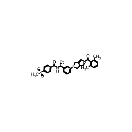 CC[C@H](NC(=O)c1ccc(S(C)(=O)=O)cc1)c1cccc(N2CC3=CN(C(=O)c4c(C)cccc4C)CC3C2)c1